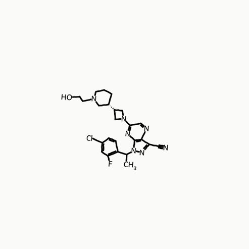 CC(c1ccc(Cl)cc1F)n1nc(C#N)c2ncc(N3CC([C@H]4CCCN(CCO)C4)C3)nc21